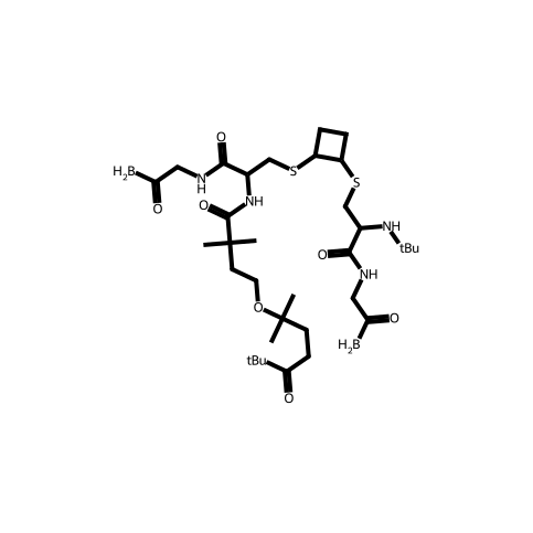 BC(=O)CNC(=O)C(CSC1CCC1SCC(NC(C)(C)C)C(=O)NCC(B)=O)NC(=O)C(C)(C)CCOC(C)(C)CCC(=O)C(C)(C)C